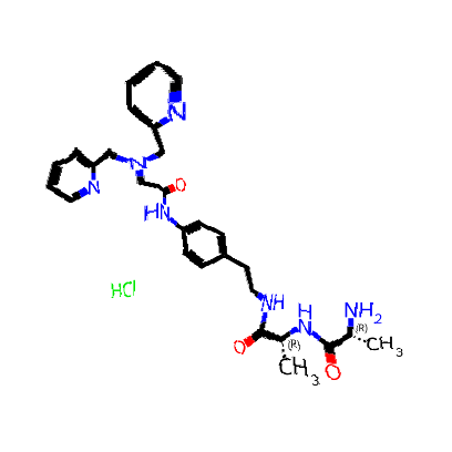 C[C@@H](N)C(=O)N[C@H](C)C(=O)NCCc1ccc(NC(=O)CN(Cc2ccccn2)Cc2ccccn2)cc1.Cl